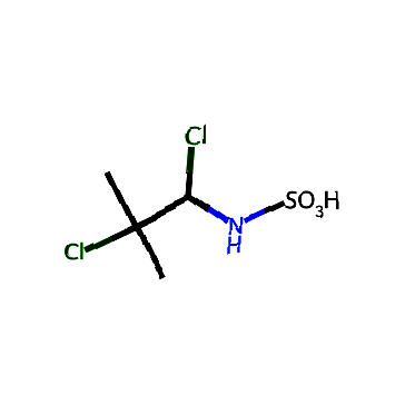 CC(C)(Cl)C(Cl)NS(=O)(=O)O